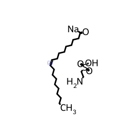 CCCCCCCCC/C=C\CCCCCCC[C](=O)[Na].NCCS(=O)(=O)O